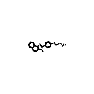 CCOC(=O)COc1ccc(-c2nc3c4ccccc4ccc3n2C)cc1